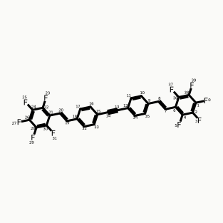 Fc1c(F)c(F)c(/C=C/c2ccc(C#Cc3ccc(/C=C/c4c(F)c(F)c(F)c(F)c4F)cc3)cc2)c(F)c1F